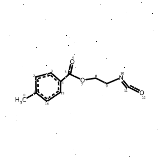 Cc1ccc(C(=O)OCCN=C=O)cc1